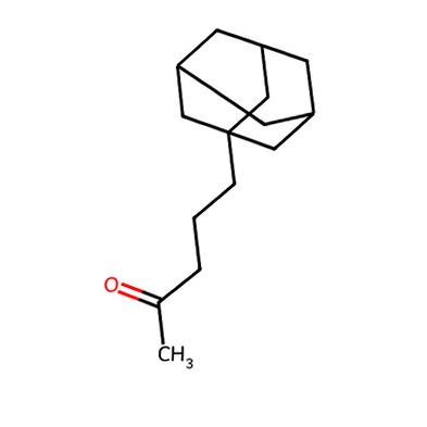 CC(=O)CCCC12CC3CC(CC(C3)C1)C2